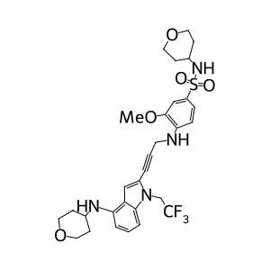 COc1cc(S(=O)(=O)NC2CCOCC2)ccc1NCC#Cc1cc2c(NC3CCOCC3)cccc2n1CC(F)(F)F